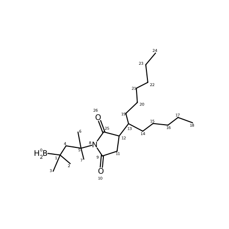 BC(C)(C)CC(C)(C)N1C(=O)CC(C(CCCCC)CCCCCC)C1=O